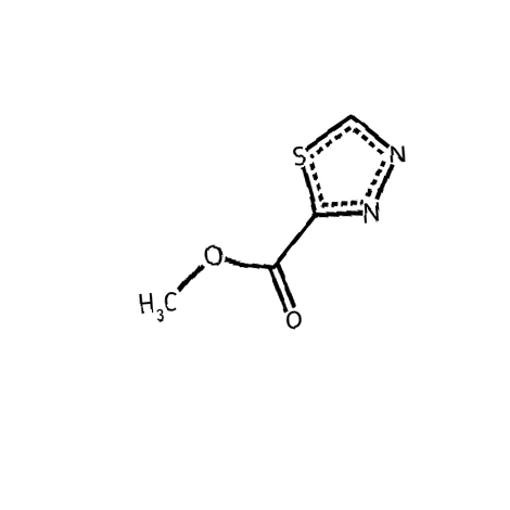 COC(=O)c1nncs1